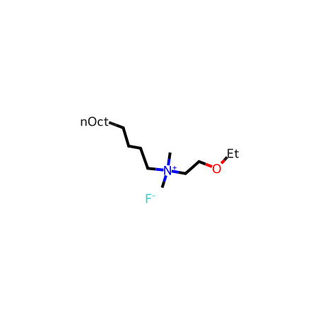 CCCCCCCCCCCC[N+](C)(C)CCOCC.[F-]